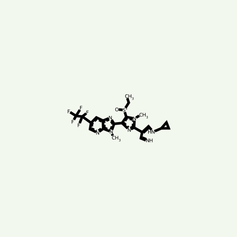 CC[S+]([O-])c1c(-c2nc3cc(C(F)(F)C(F)(F)F)cnc3n2C)nc(/C(C=N)=C/NC2CC2)n1C